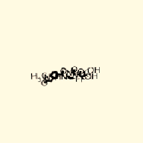 CN1C(=O)Cc2cc(C(=O)Nc3ccn(C4O[C@H](CO)[C@@H](O)C4(F)F)c(=O)n3)ccc21